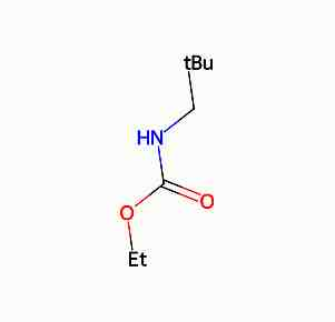 CCOC(=O)NCC(C)(C)C